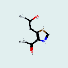 COC(=O)c1ncsc1CC(O)OC